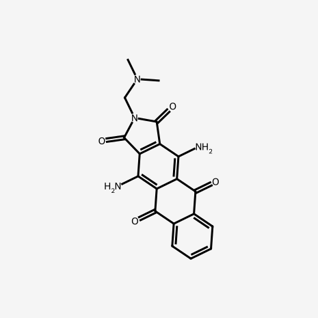 CN(C)Cn1c(=O)c2c(N)c3c(=O)c4ccccc4c(=O)c3c(N)c2c1=O